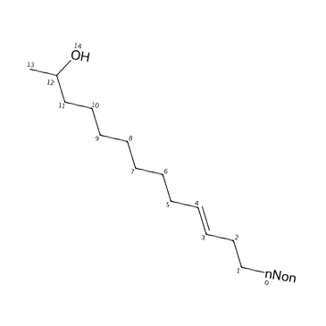 CCCCCCCCCCC/C=C/CCCCCCCC(C)O